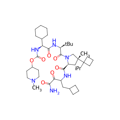 CC(C)C1([C@]2(C)C[C@@H](C(=O)NC(CC3CCC3)C(=O)C(N)=O)N(C(=O)[C@@H](NC(=O)[C@@H](NC(=O)OC3CCN(C)CC3)C3CCCCC3)C(C)(C)C)C2)CCC1